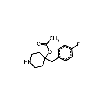 CC(=O)OC1(Cc2ccc(F)cc2)CCNCC1